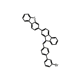 Brc1cccc(-c2ccc(/C=C3\c4ccccc4-c4ccc(-c5ccc6c(c5)sc5ccccc56)cc43)cc2)c1